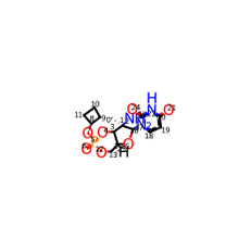 C[C@@]1(N)C2O[P@](=O)(OC3CCC3)OC[C@H]2OC1n1ccc(=O)[nH]c1=O